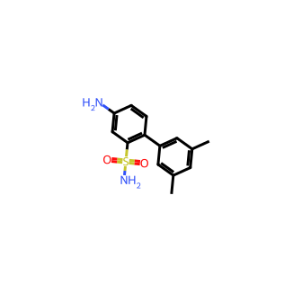 Cc1cc(C)cc(-c2ccc(N)cc2S(N)(=O)=O)c1